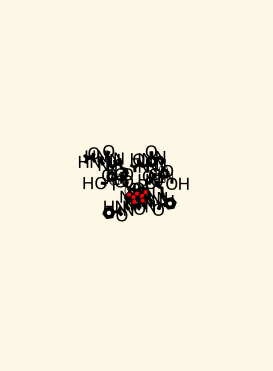 CC(C)C(=O)Nc1nc2c(ncn2[C@@H]2O[C@H](CO)[C@@H](F)[C@H]2OP(=O)(OCCC#N)OC[C@@H]2C[C@@H](O[PH](=O)O[C@@H]3C[C@@H](COP(=O)(OCCC#N)O[C@@H]4[C@H](F)[C@@H](CO)O[C@H]4n4cnc5c(=O)[nH]c(NC(=O)C(C)C)nc54)O[C@H]3n3cnc4c(NC(=O)c5ccccc5)ncnc43)[C@H](n3cnc4c(NC(=O)c5ccccc5)ncnc43)O2)c(=O)[nH]1